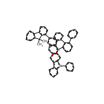 CC1(C)c2ccccc2-c2cccc(-c3ccc(N(c4ccc5c6ccccc6n(-c6ccccc6)c5c4)c4cccc(-c5ccccc5)c4-c4ccccc4-c4ccccc4)cc3)c21